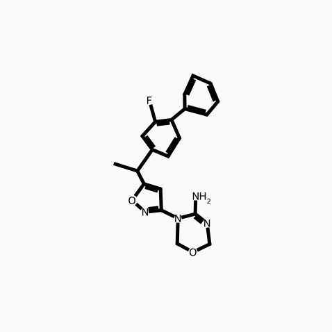 CC(c1ccc(-c2ccccc2)c(F)c1)c1cc(N2COCN=C2N)no1